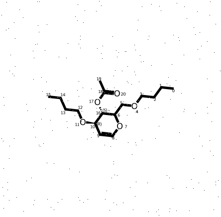 CCCCOCC1OC=C[C@@H](OCCCC)[C@@H]1OC(C)=O